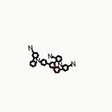 N#Cc1ccc2c(c1)c1ccccc1n2-c1ccc(-c2cccc(-c3c(C#N)cccc3-n3c4ccccc4c4ccc(C#N)cc43)c2)cc1